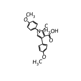 COc1ccc(-c2cn(-c3ccc(OC)cc3)c(C)c2C(=O)O)cc1